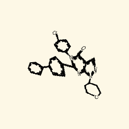 O=c1c2cnn(C3CCOCC3)c2nc(-c2ccc(-c3ccccc3)cc2)n1-c1ccc(Cl)cc1